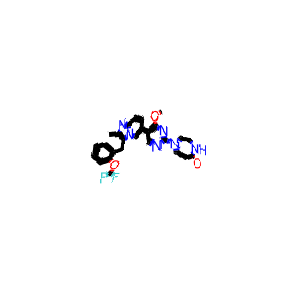 COc1nc(N2CCNC(=O)CC2)ncc1-c1ccc2nc(C)c(Cc3ccccc3OC(F)F)n2c1